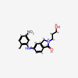 Cc1ccc([N+](=O)[O-])cc1Nc1ccc2c(c1)CN(CCCO)C2=O